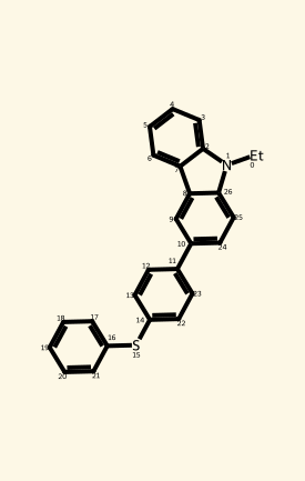 CCn1c2ccccc2c2cc(-c3ccc(Sc4ccccc4)cc3)ccc21